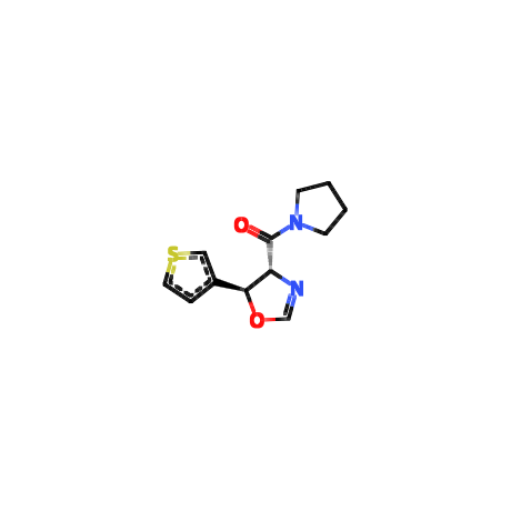 O=C([C@@H]1N=CO[C@H]1c1ccsc1)N1CCCC1